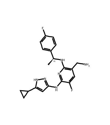 C[C@H](Nc1nc(Nc2cc(C3CC3)[nH]n2)c(F)cc1CN)c1ccc(F)cc1